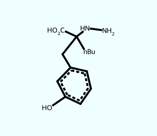 CCCCC(Cc1cccc(O)c1)(NN)C(=O)O